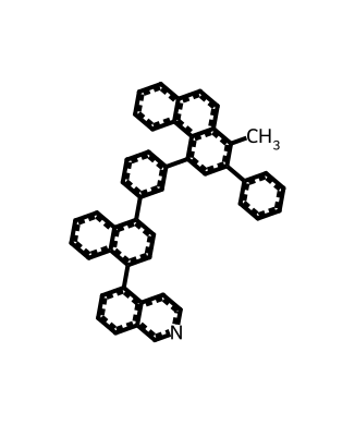 Cc1c(-c2ccccc2)cc(-c2cccc(-c3ccc(-c4cccc5cnccc45)c4ccccc34)c2)c2c1ccc1ccccc12